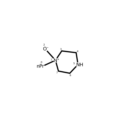 CCC[N+]1([O-])CCNCC1